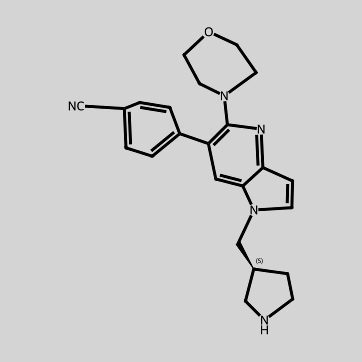 N#Cc1ccc(-c2cc3c(ccn3C[C@H]3CCNC3)nc2N2CCOCC2)cc1